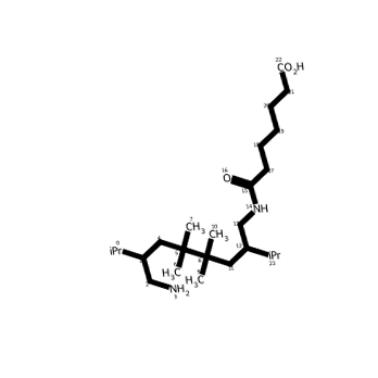 CC(C)C(CN)CC(C)(C)C(C)(C)CC(CNC(=O)CCCCCC(=O)O)C(C)C